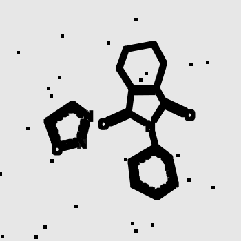 O=C1C2=C(CCCC2)C(=O)N1c1ccccc1.c1conn1